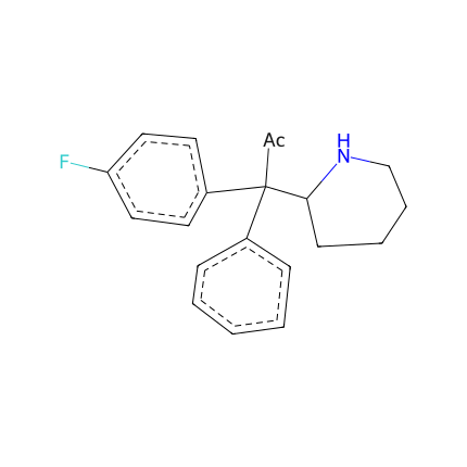 CC(=O)C(c1ccccc1)(c1ccc(F)cc1)C1CCCCN1